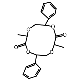 CC1OCC(c2ccccc2)OC(=O)C(C)OCC(c2ccccc2)OC1=O